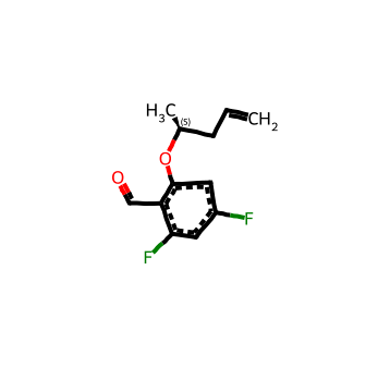 C=CC[C@H](C)Oc1cc(F)cc(F)c1C=O